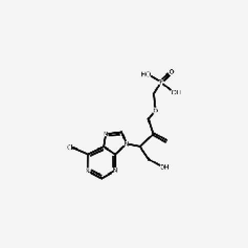 C=C(COCP(=O)(O)O)C(CO)n1cnc2c(Cl)ncnc21